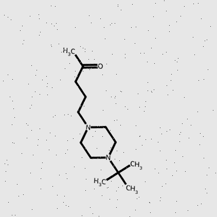 CC(=O)CCCN1CCN(C(C)(C)C)CC1